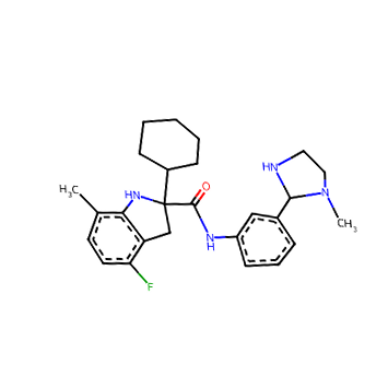 Cc1ccc(F)c2c1NC(C(=O)Nc1cccc(C3NCCN3C)c1)(C1CCCCC1)C2